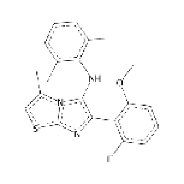 COc1cccc(F)c1-c1nc2scc(C)n2c1Nc1c(C)cccc1C